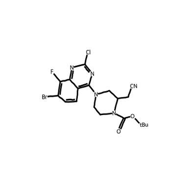 CC(C)(C)OC(=O)N1CCN(c2nc(Cl)nc3c(F)c(Br)ccc23)CC1CC#N